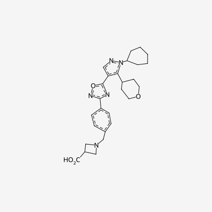 O=C(O)C1CN(Cc2ccc(-c3noc(-c4cnn(C5CCCCC5)c4C4CCOCC4)n3)cc2)C1